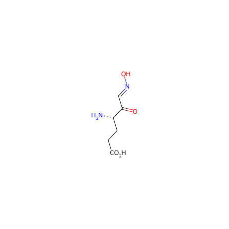 N[C@@H](CCC(=O)O)C(=O)C=NO